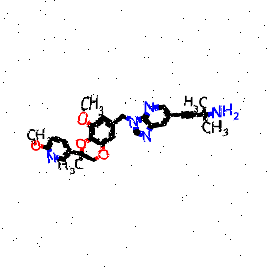 COc1ccc(C2(C)COc3cc(Cn4cnc5cc(C#CC(C)(C)N)cnc54)cc(OC)c3O2)cn1